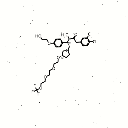 CN(C(=O)Cc1ccc(Cl)c(Cl)c1)[C@H](CN1CC[C@H](OCCOCCOCCOC(F)(F)F)C1)c1ccc(OCCO)cc1